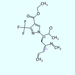 C=C/C=C(\C[C@H](C(C)Cl)n1cc(C(=O)OCC)c(C(F)(F)F)n1)N=C